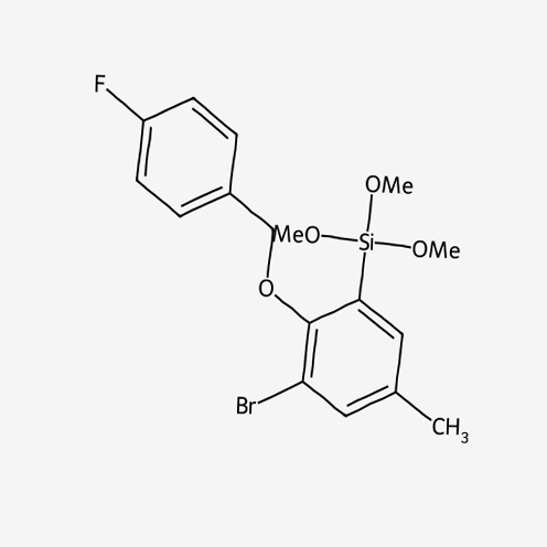 CO[Si](OC)(OC)c1cc(C)cc(Br)c1OCc1ccc(F)cc1